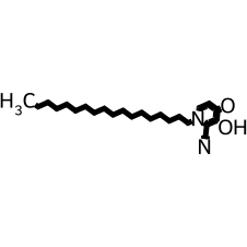 CCCCCCCCCCCCCCCCCCn1ccc(=O)c(O)c1C#N